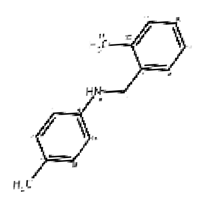 Cc1ccc(NCc2ccccc2C)cc1